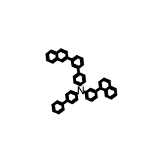 c1ccc(-c2ccc(N(c3ccc(-c4cccc(-c5ccc6ccccc6c5)c4)cc3)c3cccc(-c4cccc5ccccc45)c3)cc2)cc1